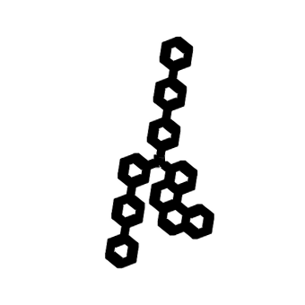 c1ccc(-c2ccc(-c3ccc(N(c4cccc(-c5ccc(-c6ccccc6)cc5)c4)c4cccc5c4ccc4ccc6ccccc6c45)cc3)cc2)cc1